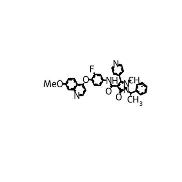 COc1ccc2c(Oc3ccc(NC(=O)c4c(-c5ccncc5)n(C)n(C(C)c5ccccc5)c4=O)cc3F)ccnc2c1